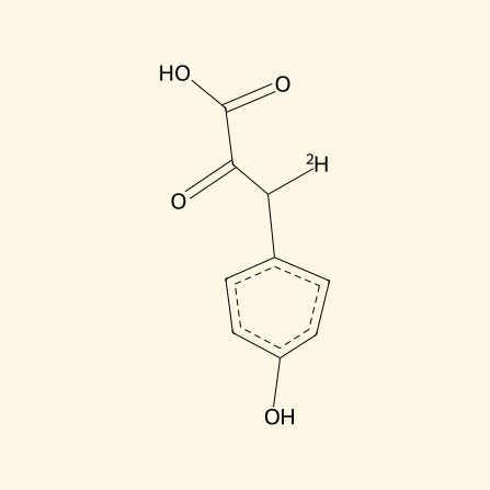 [2H]C(C(=O)C(=O)O)c1ccc(O)cc1